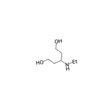 CCNC(CCO)CCO